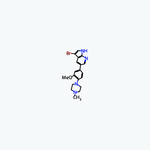 COc1cc(-c2cnc3[nH]cc(Br)c3c2)ccc1N1CCN(C)CC1